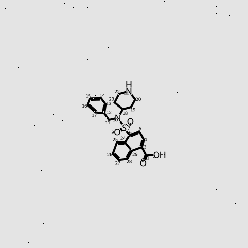 O=C(O)c1ccc(S(=O)(=O)N(Cc2ccccc2)C2CCNCC2)c2ccccc12